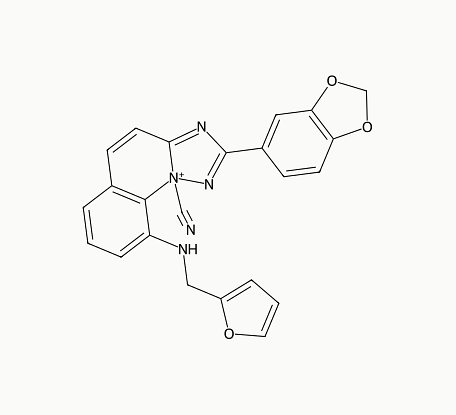 N#C[N+]12N=C(c3ccc4c(c3)OCO4)N=C1C=Cc1cccc(NCc3ccco3)c12